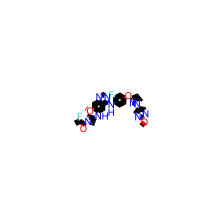 C=C(F)C(=O)N1CC(Nc2cc3c(Nc4ccc(Oc5ccn(-c6cnc(OC)nc6)n5)cc4F)ncnc3cc2OC)C1